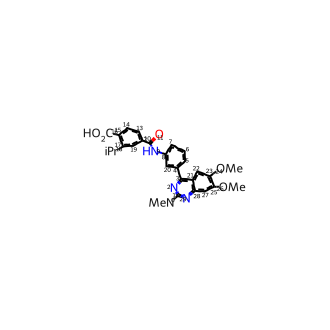 CNc1nc(-c2cccc(NC(=O)c3ccc(C(=O)O)c(C(C)C)c3)c2)c2cc(OC)c(OC)cc2n1